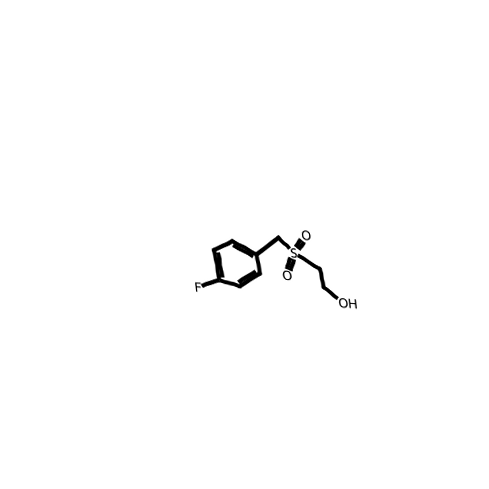 O=S(=O)(CCO)Cc1ccc(F)cc1